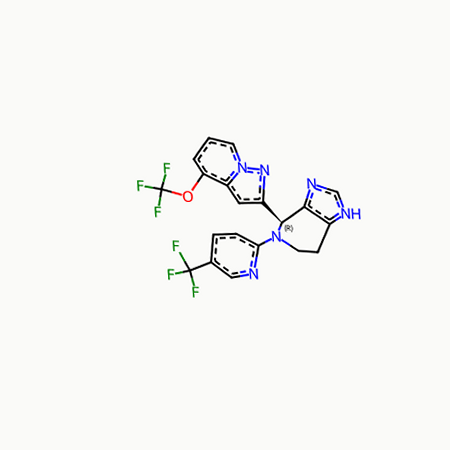 FC(F)(F)Oc1cccn2nc([C@H]3c4nc[nH]c4CCN3c3ccc(C(F)(F)F)cn3)cc12